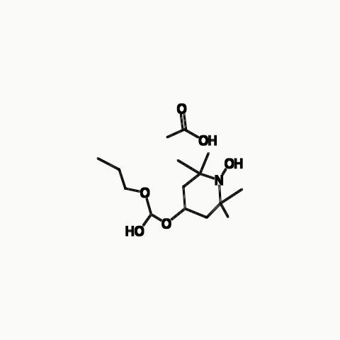 CC(=O)O.CCCOC(O)OC1CC(C)(C)N(O)C(C)(C)C1